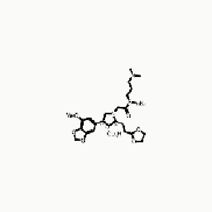 CCCCN(CCCN(C)C)C(=O)CN1C[C@H](c2cc(OC)c3c(c2)OCO3)[C@@H](C(=O)O)[C@@H]1CCC1OCCO1